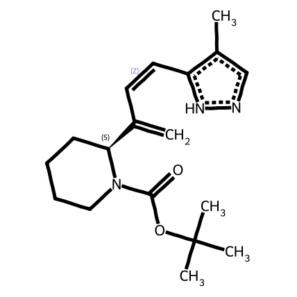 C=C(/C=C\c1[nH]ncc1C)[C@@H]1CCCCN1C(=O)OC(C)(C)C